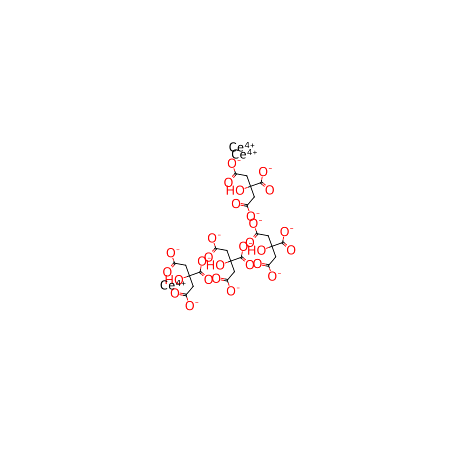 O=C([O-])CC(O)(CC(=O)[O-])C(=O)[O-].O=C([O-])CC(O)(CC(=O)[O-])C(=O)[O-].O=C([O-])CC(O)(CC(=O)[O-])C(=O)[O-].O=C([O-])CC(O)(CC(=O)[O-])C(=O)[O-].[Ce+4].[Ce+4].[Ce+4]